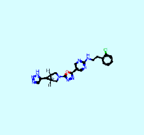 Clc1ccccc1CCNc1ncc(-c2nnc(N3C[C@@H]4C(c5cnn[nH]5)[C@@H]4C3)o2)cn1